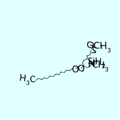 CCCCCCCCCCCCCCCOCOC1CCC(CCCSC(C)=O)[SiH2]N(C)CC1